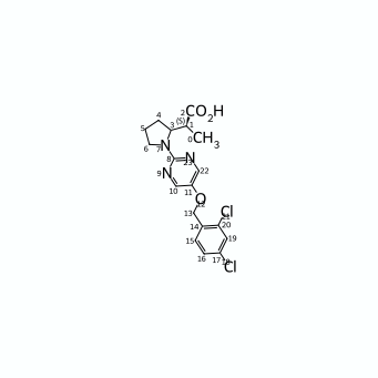 C[C@H](C(=O)O)C1CCCN1c1ncc(OCc2ccc(Cl)cc2Cl)cn1